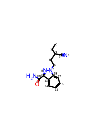 CCC(C#N)CCn1nc(C(N)=O)c2ccccc21